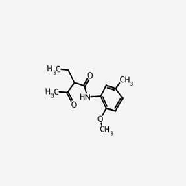 CCC(C(C)=O)C(=O)Nc1cc(C)ccc1OC